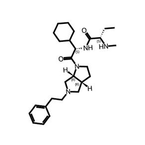 CC[C@H](NC)C(=O)N[C@H](C(=O)N1CC[C@@H]2CN(CCc3ccccc3)C[C@@H]21)C1CCCCC1